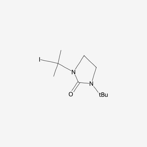 CC(C)(C)N1CCN(C(C)(C)I)C1=O